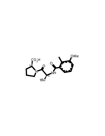 COc1cccc(C(=O)N[C@H](C(=O)N2CCC[C@H]2C(=O)O)C(C)(C)C)c1C